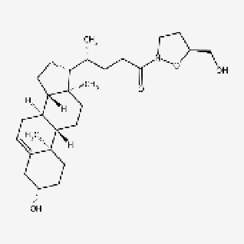 C[C@H](CCC(=O)N1CC[C@@H](CO)O1)[C@H]1CC[C@H]2[C@@H]3CC=C4C[C@@H](O)CC[C@]4(C)[C@H]3CC[C@]12C